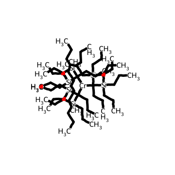 CCC[C]([Cr]([C](CCC)([Si](CCC)(CCC)CCC)[Si](CCC)(CCC)CCC)[C](CCC)([Si](CCC)(CCC)CCC)[Si](CCC)(CCC)CCC)([Si](CCC)(CCC)CCC)[Si](CCC)(CCC)CCC